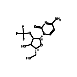 Nc1ccn([C@@H]2O[C@H](CO)C(O)C2OC(F)(F)F)c(=O)n1